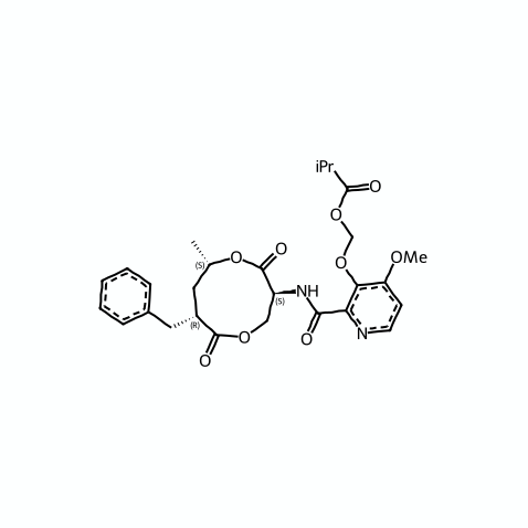 COc1ccnc(C(=O)N[C@H]2COC(=O)[C@H](Cc3ccccc3)C[C@H](C)OC2=O)c1OCOC(=O)C(C)C